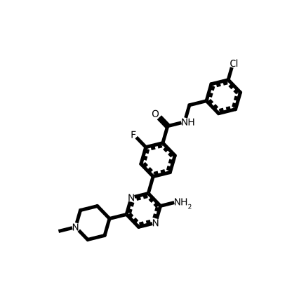 CN1CCC(c2cnc(N)c(-c3ccc(C(=O)NCc4cccc(Cl)c4)c(F)c3)n2)CC1